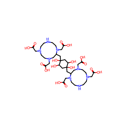 O=C(O)CN1CCNCCN(CC(=O)O)C(CC2(O)CC(O)C(O)(CC3CN(CC(=O)O)CCN(CC(=O)O)CCNCCN3CC(=O)O)CC2O)CN(CC(=O)O)CC1